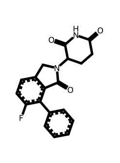 O=C1CCC(N2Cc3ccc(F)c(-c4ccccc4)c3C2=O)C(=O)N1